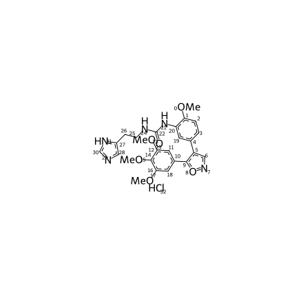 COc1ccc(-c2cnoc2-c2cc(OC)c(OC)c(OC)c2)cc1NC(=O)NCCc1cnc[nH]1.Cl